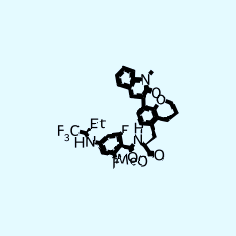 CC[C@@H](Nc1cc(F)c(C(=O)N[C@@H](Cc2ccc(-c3cc4ccccc4n(C)c3=O)c3c2CCCO3)C(=O)OC)c(F)c1)C(F)(F)F